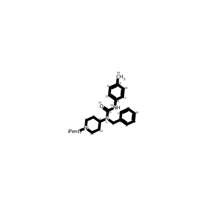 CCCC(C)N1CCC(N(Cc2ccccc2)C(=O)Nc2ccc(C)cc2)CC1